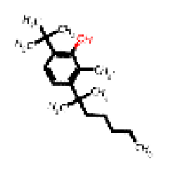 [CH2]c1c(C(C)(C)CCCCC)ccc(C(C)(C)C)c1O